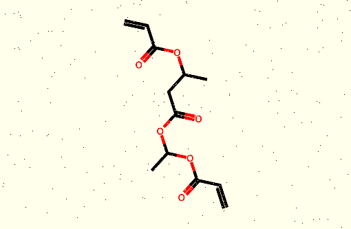 C=CC(=O)OC(C)CC(=O)OC(C)OC(=O)C=C